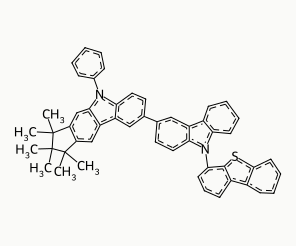 CC1(C)c2cc3c4cc(-c5ccc6c(c5)c5ccccc5n6-c5cccc6c5sc5ccccc56)ccc4n(-c4ccccc4)c3cc2C(C)(C)C1(C)C